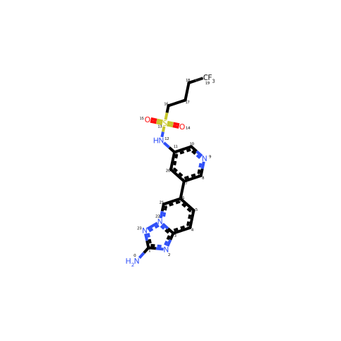 Nc1nc2ccc(-c3cncc(NS(=O)(=O)CCCC(F)(F)F)c3)cn2n1